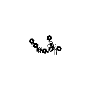 O=C(OCc1ccccc1)OC1(C(=O)NC2CCCCC2)CCN(Cc2ccc(-c3noc(-c4ccc(-c5ccccc5)c(F)c4)n3)cc2)CC1